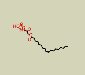 CCCCCCCC/C=C\CCCCCCCC(=O)OCC(=O)COP(=O)(O)O